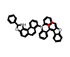 c1ccc(C2Nc3c(ccc4ccc5c(N(c6ccccc6)c6ccccc6-c6cccc7oc8ccccc8c67)cccc5c34)O2)cc1